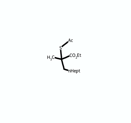 CCCCCCCCC(C)(SC(C)=O)C(=O)OCC